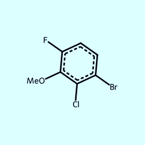 COc1c(F)ccc(Br)c1Cl